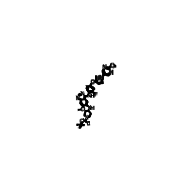 COc1ncc(-n2ccc(Oc3ccc(Nc4ncnc5cc(OC)c(NC6CCN(C(=O)OC(C)(C)C)CC6)cc45)c(F)c3)n2)cn1